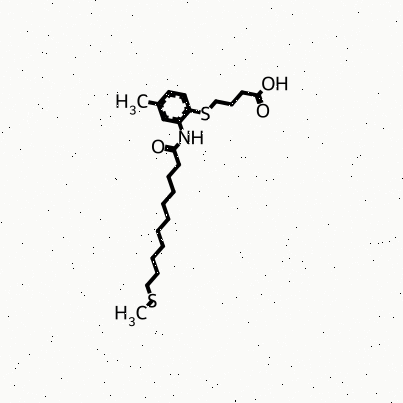 CSCCCCCCCCCCC(=O)Nc1cc(C)ccc1SCCCC(=O)O